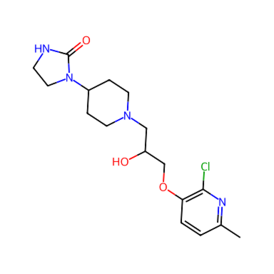 Cc1ccc(OCC(O)CN2CCC(N3CCNC3=O)CC2)c(Cl)n1